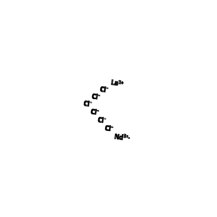 [Cl-].[Cl-].[Cl-].[Cl-].[Cl-].[Cl-].[La+3].[Nd+3]